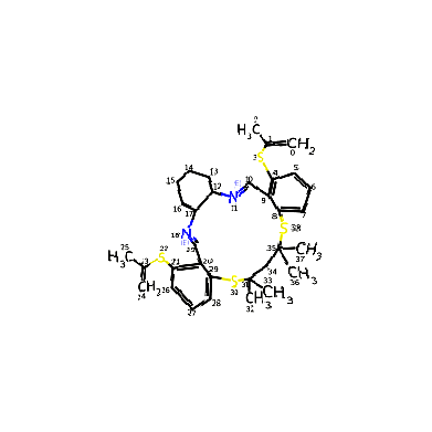 C=C(C)Sc1cccc2c1/C=N/C1CCCCC1/N=C/c1c(SC(=C)C)cccc1SC(C)(C)CC(C)(C)S2